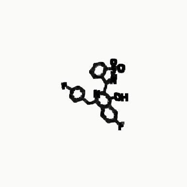 O=S1(=O)N=C(c2nc(Cc3ccc(F)cc3)c3ccc(F)cc3c2O)c2ccccc21